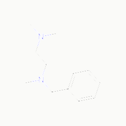 CN(C)CCN(C)Cc1ccccc1